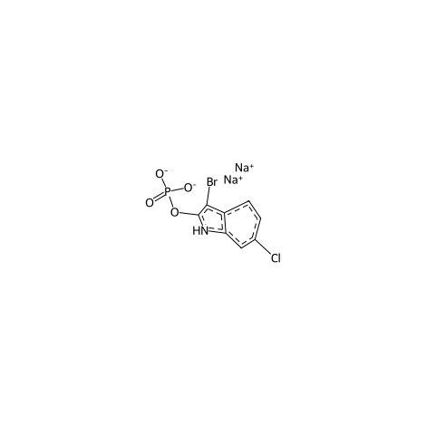 O=P([O-])([O-])Oc1[nH]c2cc(Cl)ccc2c1Br.[Na+].[Na+]